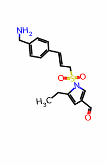 CCc1cc(C=O)cn1S(=O)(=O)CC=Cc1ccc(CN)cc1